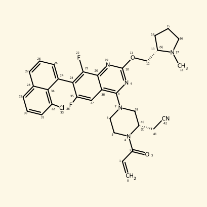 C=CC(=O)N1CCN(c2nc(OC[C@@H]3CCCN3C)nc3c(F)c(-c4cccc5cccc(Cl)c45)c(F)cc23)C[C@@H]1CC#N